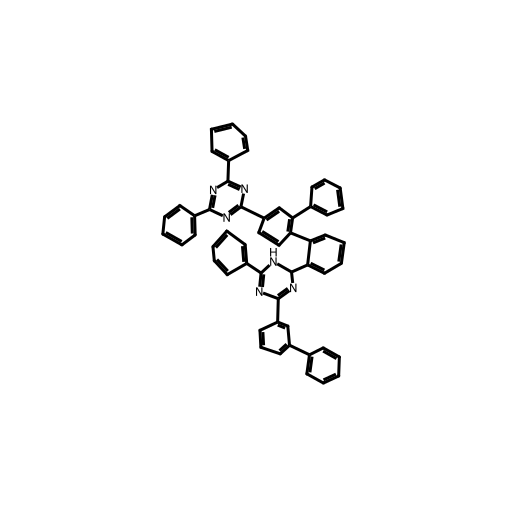 c1ccc(C2=NC(c3cccc(-c4ccccc4)c3)=NC(c3ccccc3-c3ccc(-c4nc(-c5ccccc5)nc(-c5ccccc5)n4)cc3-c3ccccc3)N2)cc1